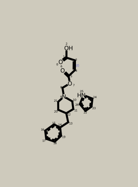 O=C(O)/C=C\C(=O)OCN1CCC(Cc2ccccc2)CC1.c1cc[nH]c1